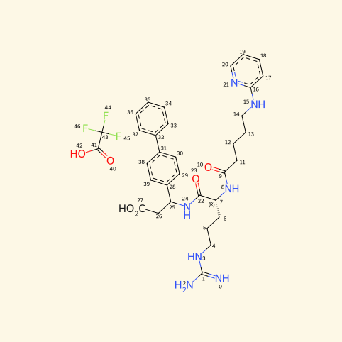 N=C(N)NCCC[C@@H](NC(=O)CCCCNc1ccccn1)C(=O)NC(CC(=O)O)c1ccc(-c2ccccc2)cc1.O=C(O)C(F)(F)F